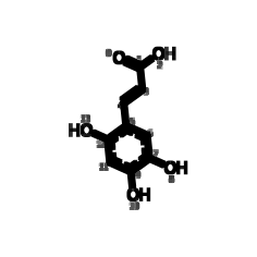 O=C(O)C=Cc1cc(O)c(O)cc1O